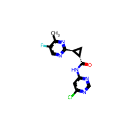 Cc1nc([C@H]2C[C@@H]2C(=O)Nc2cc(Cl)ncn2)ncc1F